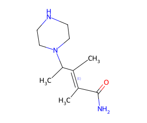 C/C(C(N)=O)=C(/C)C(C)N1CCNCC1